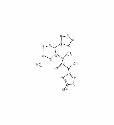 CN(C(=O)C(Cl)c1csc(Cl)c1)C1CCCCC1N1CCCC1.Cl